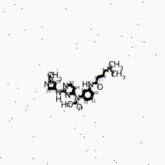 CN(C)C/C=C/C(=O)Nc1cccc(N(C(=O)O)c2ccnc(Nc3cnn(C)c3)n2)c1